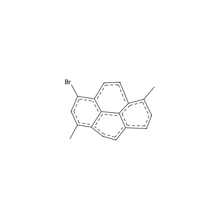 Cc1ccc2ccc3c(C)cc(Br)c4ccc1c2c34